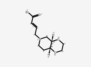 CCC(=O)/C=C/CN1CC[C@H]2OCCO[C@H]2C1